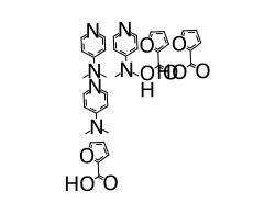 CN(C)c1ccncc1.CN(C)c1ccncc1.CN(C)c1ccncc1.O=C(O)c1ccco1.O=C(O)c1ccco1.O=C(O)c1ccco1